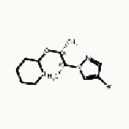 C[C@H]([C@@H](C)OC1CCCCO1)n1cc(Br)cn1